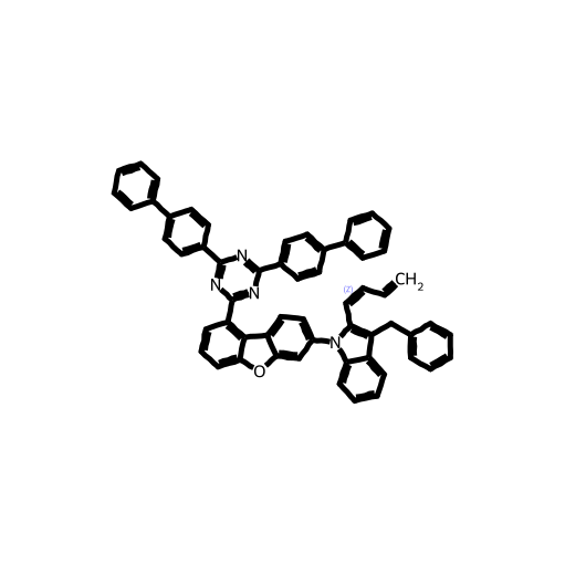 C=C/C=C\c1c(Cc2ccccc2)c2ccccc2n1-c1ccc2c(c1)oc1cccc(-c3nc(-c4ccc(-c5ccccc5)cc4)nc(-c4ccc(-c5ccccc5)cc4)n3)c12